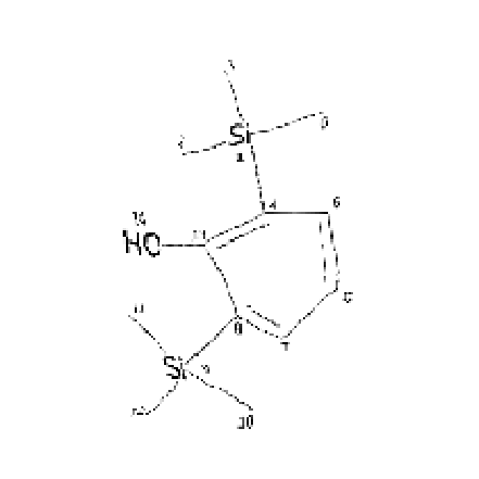 C[Si](C)(C)c1cccc([Si](C)(C)C)c1O